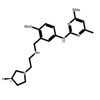 CNc1cc(C)nc(Nc2ccc(OC)c(CNCCN3CC[C@@H](F)C3)c2)n1